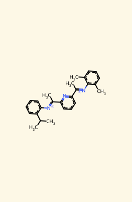 C/C(=N\c1ccccc1C(C)C)c1cccc(/C(C)=N/c2c(C)cccc2C)n1